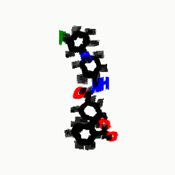 O=C1OC2(CCC(C(=O)NC3CCN(c4cccc(F)c4)CC3)CC2)c2ccccc21